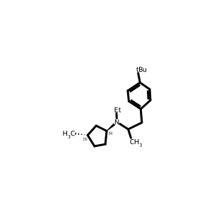 CCN(C(C)Cc1ccc(C(C)(C)C)cc1)[C@H]1CC[C@H](C)C1